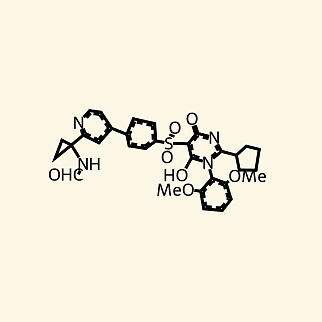 COc1cccc(OC)c1-n1c(C2CCCC2)nc(=O)c(S(=O)(=O)c2ccc(-c3ccnc(C4(NC=O)CC4)c3)cc2)c1O